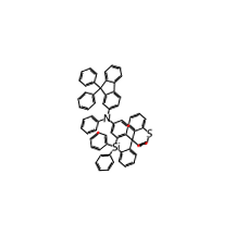 c1ccc(N(c2ccc3c(c2)C(c2ccccc2)(c2ccccc2)c2ccccc2-3)c2ccc3c(c2)[Si](c2ccccc2)(c2ccccc2)c2ccccc2C32c3ccccc3Sc3ccccc32)cc1